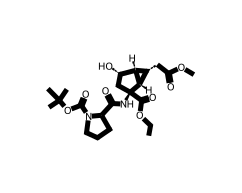 CCOC(=O)[C@]1(NC(=O)C2CCCN2C(=O)OC(C)(C)C)C[C@H](O)[C@H]2[C@H](CC(=O)OC)[C@H]21